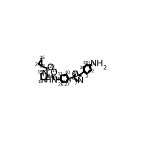 Nc1ccc(-c2ncc(-c3ccc(NC(=O)[C@@H]4CCCN4C(=O)C4CC4)cc3)o2)cc1